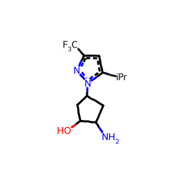 CC(C)c1cc(C(F)(F)F)nn1C1CC(N)C(O)C1